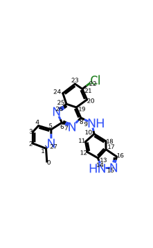 Cc1cccc(-c2nc(Nc3ccc4[nH]ncc4c3)c3cc(Cl)ccc3n2)n1